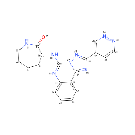 O=C1NCCCC[C@H]1Nc1nc2ccccc2c2nc(-c3ccnnc3)nn12